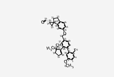 COc1ccc(F)c(-c2ccc(COc3ccc4c(c3)[C@]3(CC4)C[C@@H]3C=O)cc2C2=CCCC2(C)C)c1